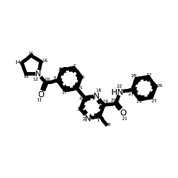 Cc1ncc(-c2cccc(C(=O)N3CCCC3)c2)nc1C(=O)Nc1ccccc1